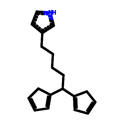 C1=CCC(C(CCCCc2cc[nH]c2)C2=CC=CC2)=C1